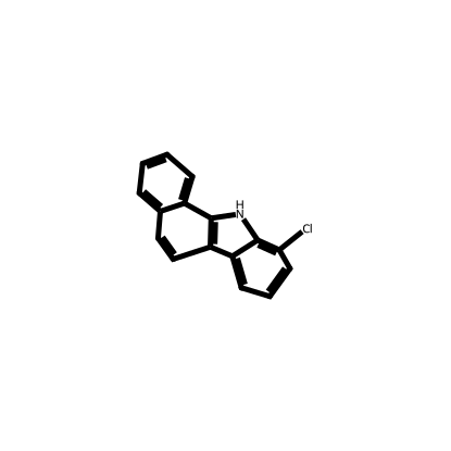 Clc1cccc2c1[nH]c1c3ccccc3ccc21